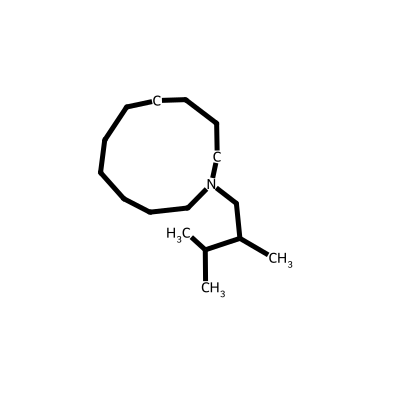 CC(C)C(C)CN1CCCCCCCCCC1